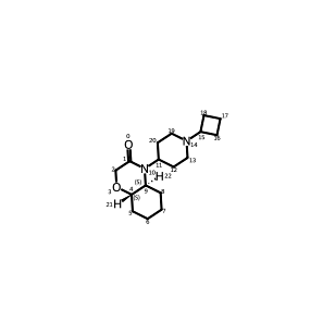 O=C1CO[C@H]2CCCC[C@@H]2N1C1CCN(C2CCC2)CC1